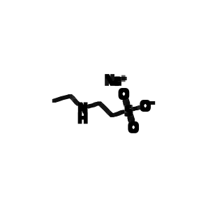 CCNCCS(=O)(=O)[O-].[Na+]